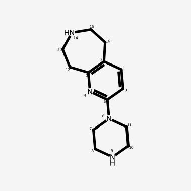 c1cc2c(nc1N1CCNCC1)CCNCC2